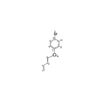 C=CCCOc1ccc(Br)cc1